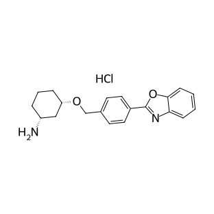 Cl.N[C@@H]1CCC[C@H](OCc2ccc(-c3nc4ccccc4o3)cc2)C1